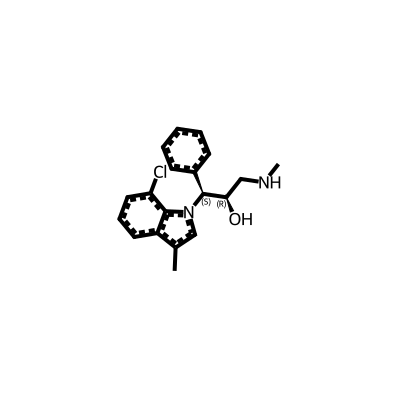 CNC[C@@H](O)[C@H](c1ccccc1)n1cc(C)c2cccc(Cl)c21